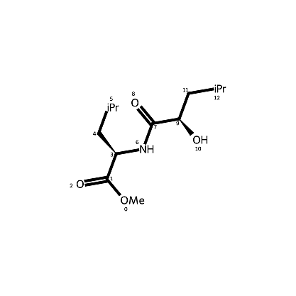 COC(=O)[C@@H](CC(C)C)NC(=O)[C@H](O)CC(C)C